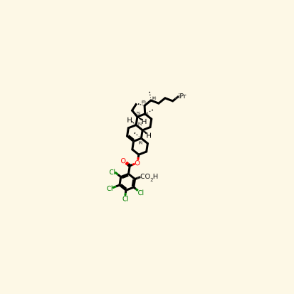 CC(C)CCC[C@@H](C)[C@H]1CC[C@H]2[C@@H]3CC=C4CC(OC(=O)c5c(Cl)c(Cl)c(Cl)c(Cl)c5C(=O)O)CC[C@]4(C)[C@H]3CC[C@]12C